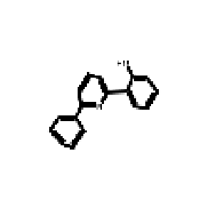 Oc1ccccc1-c1cccc(-c2ccccc2)n1